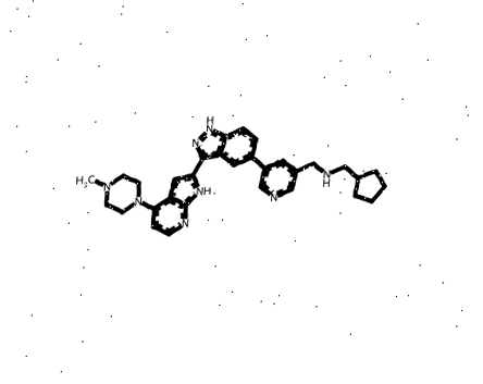 CN1CCN(c2ccnc3[nH]c(-c4n[nH]c5ccc(-c6cncc(CNCC7CCCC7)c6)cc45)cc23)CC1